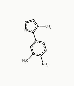 Cc1cc(-c2nncn2C)ccc1N